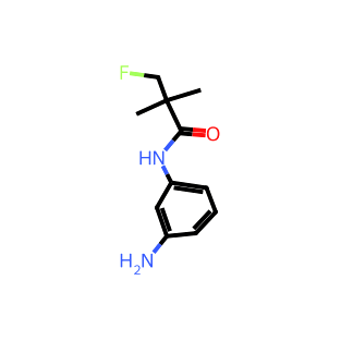 CC(C)(CF)C(=O)Nc1cccc(N)c1